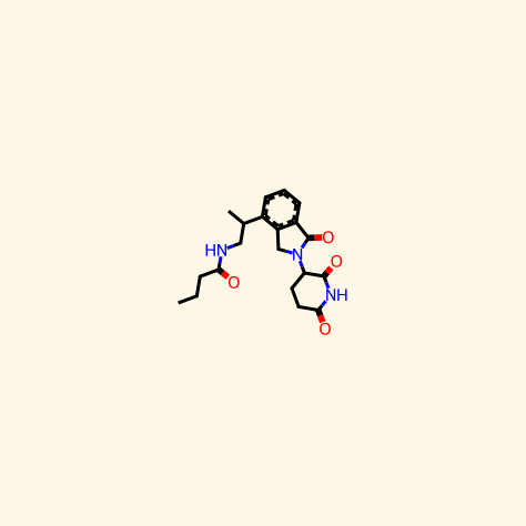 CCCC(=O)NCC(C)c1cccc2c1CN(C1CCC(=O)NC1=O)C2=O